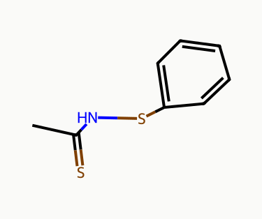 CC(=S)NSc1ccccc1